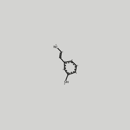 N#CC=Cc1cccc(O)c1